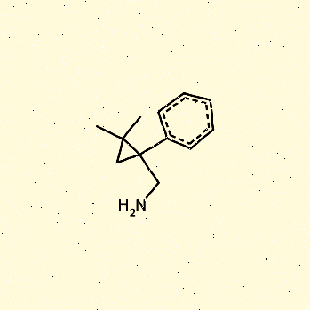 CC1(C)CC1(CN)c1ccccc1